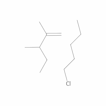 C=C(C)C(C)CC.CCCCCCl